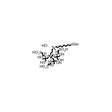 CCCCCCCCCCCCCCCCCC[N+](C)(C)CCC[Si](OCC(CO)(CO)NCCS(=O)(=O)O)(OCC(CO)(CO)NCCS(=O)(=O)O)OCC(CO)(CO)NCCS(=O)(=O)O.Cl